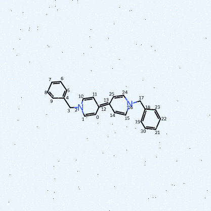 C1=CN(Cc2ccccc2)C=CC1=C1C=CN(Cc2ccccc2)C=C1